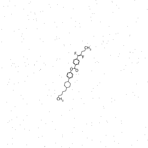 CCCCCC1CCC(c2ccc(OC(=O)c3ccc(/C(F)=C(\F)CCC)cc3)cc2)CC1